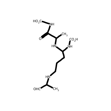 CC(C=O)NCCCC(NC(=O)O)NC(C)C(=O)NC(=O)O